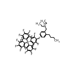 CCCCc1ccccc1C[NH+](CC)CC.Fc1c(F)c(F)c([B-](c2c(F)c(F)c(F)c(F)c2F)(c2c(F)c(F)c(F)c(F)c2F)c2c(F)c(F)c(F)c(F)c2F)c(F)c1F